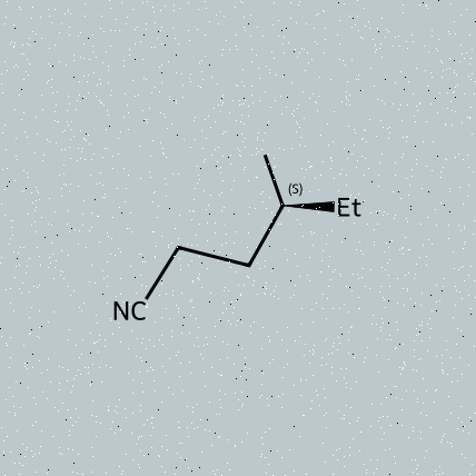 CC[C@H](C)CCC#N